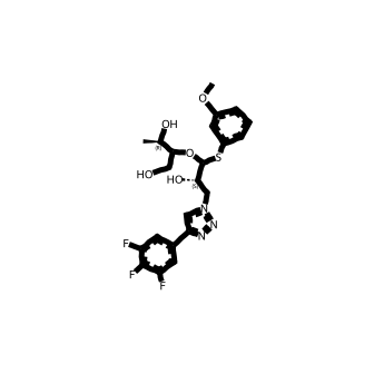 COc1cccc(SC(OC(CO)[C@@H](C)O)[C@@H](O)Cn2cc(-c3cc(F)c(F)c(F)c3)nn2)c1